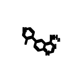 Cc1cnccc1-c1ccc2ncnc(N)c2c1